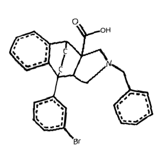 O=C(O)C12CN(Cc3ccccc3)CC1C1(c3cccc(Br)c3)CCC2c2ccccc21